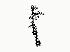 CC(=O)OCC(=O)NCC[C@H](NC(=O)COC(C)=O)C(=O)NCCC(=O)ONC(=O)Cc1ccc(CCCCc2ccccc2)cc1